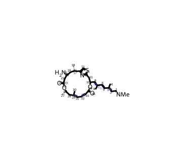 CNC/C=C(C)/C=C/C(C)=C/C1Cc2nc(cs2)[C@@H](C)C[C@@H](N)CC(=O)O[C@@H](C)C/C(C)=C/C=C\C(=O)O1